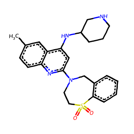 Cc1ccc2nc(N3CCS(=O)(=O)c4ccccc4C3)cc(NC3CCCNC3)c2c1